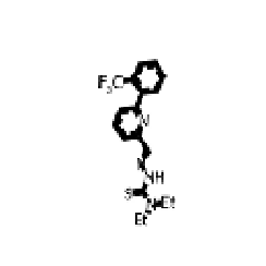 CCN(CC)C(=S)NN=Cc1cccc(-c2ccccc2C(F)(F)F)n1